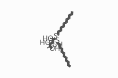 CCCCCCCCCCCCSC(SCCCCCCCCCCCC)[C@H](O)[C@H](O)[C@@H](O)[C@H](C)O